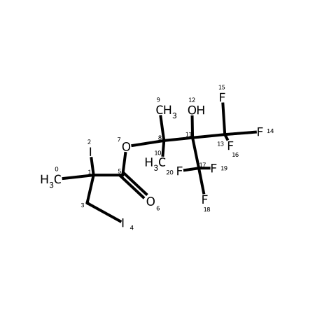 CC(I)(CI)C(=O)OC(C)(C)C(O)(C(F)(F)F)C(F)(F)F